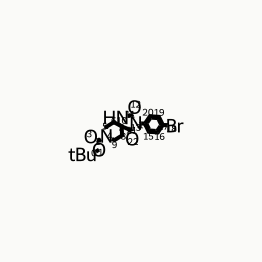 CC(C)(C)OC(=O)N1CCC2(CC1)NC(=O)N(c1ccc(Br)cc1)C2=O